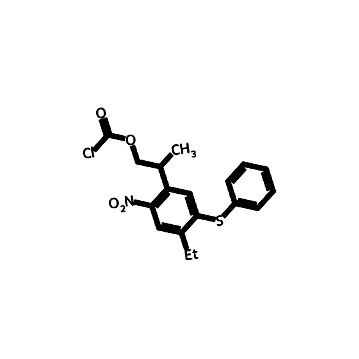 CCc1cc([N+](=O)[O-])c(C(C)COC(=O)Cl)cc1Sc1ccccc1